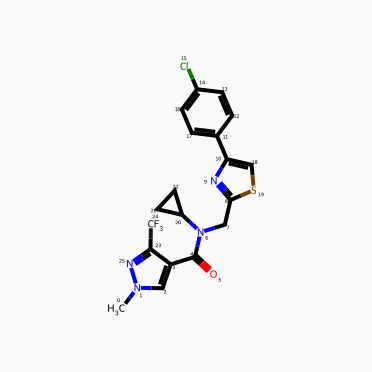 Cn1cc(C(=O)N(Cc2nc(-c3ccc(Cl)cc3)cs2)C2CC2)c(C(F)(F)F)n1